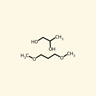 CC(O)CO.COCCCOC